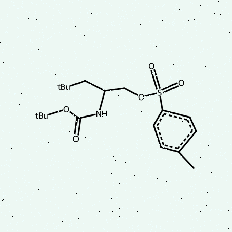 Cc1ccc(S(=O)(=O)OCC(CC(C)(C)C)NC(=O)OC(C)(C)C)cc1